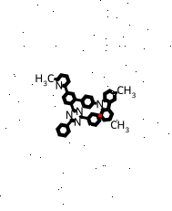 Cc1ccc2c(c1)c1cc(C)ccc1n2-c1ccc(-c2cc(-c3cccc(C)n3)ccc2-c2nc(-c3ccccc3)nc(-c3ccccc3)n2)cc1